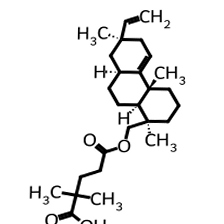 C=C[C@@]1(C)CC=C2[C@@H](CC[C@@H]3[C@](C)(COC(=O)CCC(C)(C)C(=O)O)CCC[C@@]23C)C1